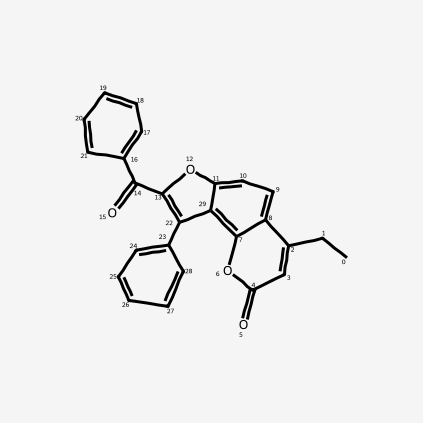 CCc1cc(=O)oc2c1ccc1oc(C(=O)c3ccccc3)c(-c3ccccc3)c12